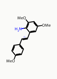 COc1ccc(/C=C/c2cc(OC)cc(OC)c2N)cc1